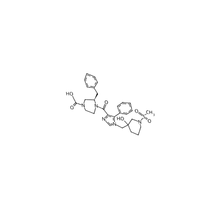 CS(=O)(=O)N1CCCC(O)(Cn2cnc(C(=O)N3CCN(C(=O)O)C[C@H]3Cc3ccccc3)c2-c2ccccc2)C1